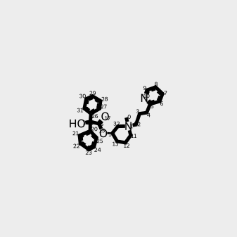 C[N+]1(CCCc2ccccn2)CCC[C@@H](OC(=O)C(O)(c2ccccc2)c2ccccc2)C1